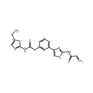 C=CC(=O)Nc1nc(-c2cccc(CC(=O)Nc3ncc(CC)s3)c2)cs1